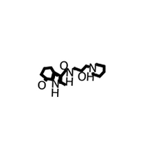 Cc1[nH]c2c(c1C(=O)NCC(O)CN1CCCCC1)CCCC2=O